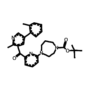 Cc1ccccc1-c1cnc(C)c(C(=O)c2cccc(N3CCCN(C(=O)OC(C)(C)C)CC3)n2)c1